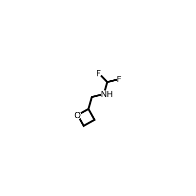 FC(F)NCC1CCO1